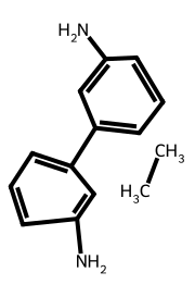 CC.Nc1cccc(-c2cccc(N)c2)c1